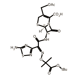 CC(=O)OCC1=C(C(=O)O)N2C(=O)[C@@H](NC(=O)C(=NOC(C)(C)C(=O)OC(C)(C)C)c3nsc(N)n3)[C@H]2SC1